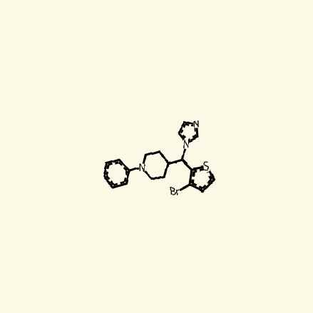 Brc1ccsc1C(C1CCN(c2ccccc2)CC1)n1ccnc1